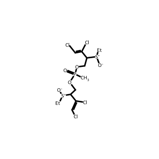 CC[S+]([O-])C(COP(C)(=O)OCC(C(Cl)=CCl)[S+]([O-])CC)C(Cl)=CCl